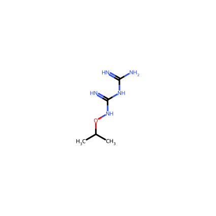 CC(C)ONC(=N)NC(=N)N